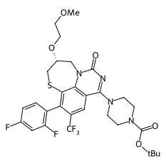 COCCO[C@H]1CSc2c(-c3ccc(F)cc3F)c(C(F)(F)F)cc3c(N4CCN(C(=O)OC(C)(C)C)CC4)nc(=O)n(c23)C1